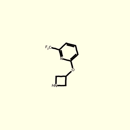 FC(F)(F)c1cccc(OC2CNC2)n1